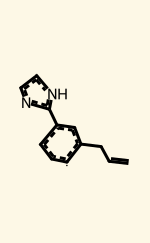 C=CCc1[c]ccc(-c2ncc[nH]2)c1